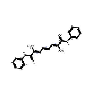 C\C(=C/C=C/C=C(\C)C(=O)Oc1ccccc1)C(=O)Oc1ccccc1